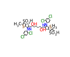 Cc1sc2c(c1S(=O)(=O)O)Cc1c(C(O)CCCCC(O)c3nn(-c4ccc(Cl)cc4Cl)c4c3Cc3c-4sc(C)c3S(=O)(=O)O)nn(-c3ccc(Cl)cc3Cl)c1-2